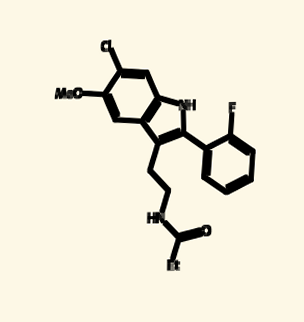 CCC(=O)NCCc1c(-c2ccccc2F)[nH]c2cc(Cl)c(OC)cc12